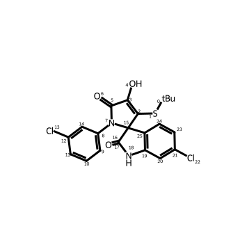 CC(C)(C)SC1=C(O)C(=O)N(c2cccc(Cl)c2)C12C(=O)Nc1cc(Cl)ccc12